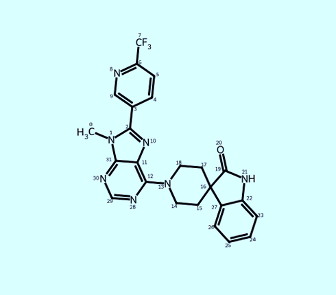 Cn1c(-c2ccc(C(F)(F)F)nc2)nc2c(N3CCC4(CC3)C(=O)Nc3ccccc34)ncnc21